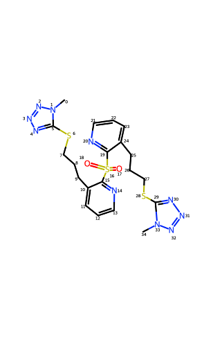 Cn1nnnc1SCCCc1cccnc1S(=O)(=O)c1ncccc1CCCSc1nnnn1C